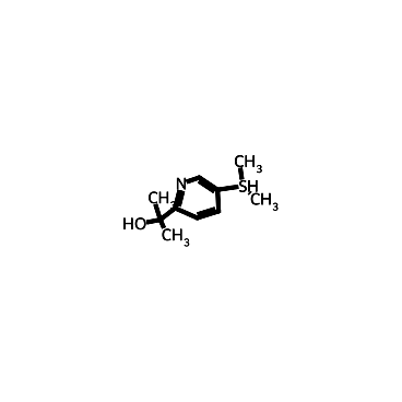 C[SH](C)c1ccc(C(C)(C)O)nc1